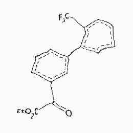 CCOC(=O)C(=O)c1cccc(-c2ccccc2C(F)(F)F)c1